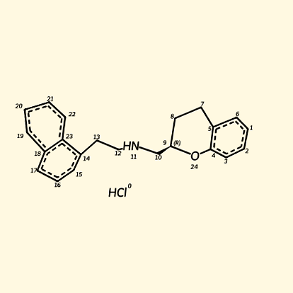 Cl.c1ccc2c(c1)CC[C@H](CNCCc1cccc3ccccc13)O2